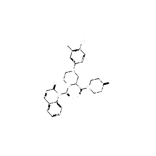 O=C1CCN(C(=O)C2CN(c3ccc(Cl)c(Cl)c3)CCN2C(=O)n2c(=O)ccc3ccccc32)CC1